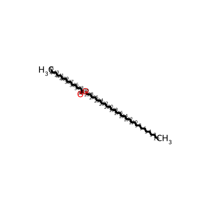 CCCCCCCCCCCCCCCCCCCCCCCCCCCCCCOC(=O)CCCCCCCCCCCCC